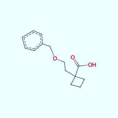 O=C(O)C1(CCOCc2ccccc2)CCC1